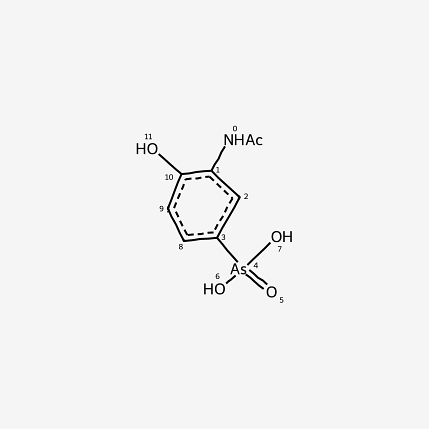 CC(=O)Nc1cc([As](=O)(O)O)c[c]c1O